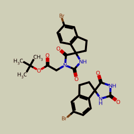 CC(C)(C)OC(=O)CN1C(=O)NC2(CCc3cc(Br)ccc32)C1=O.O=C1NC(=O)C2(CCc3cc(Br)ccc32)N1